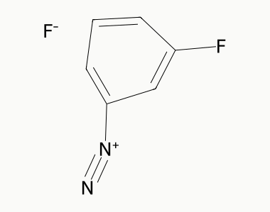 N#[N+]c1cccc(F)c1.[F-]